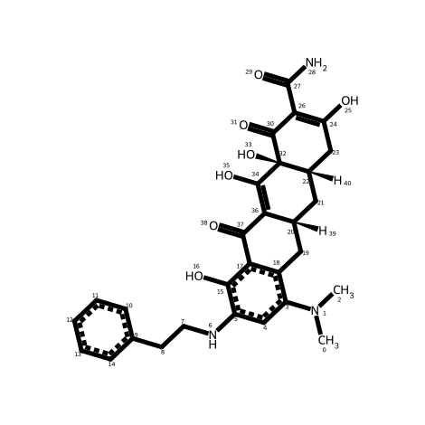 CN(C)c1cc(NCCc2ccccc2)c(O)c2c1C[C@H]1C[C@H]3CC(O)=C(C(N)=O)C(=O)[C@@]3(O)C(O)=C1C2=O